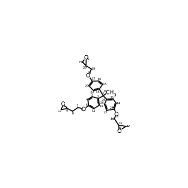 CC(c1ccc(OCCC2CO2)cc1)(c1ccc(OCC2CO2)cc1)c1ccc(OCC2CO2)cc1